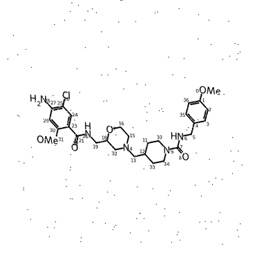 COc1ccc(CNC(=O)N2CCC(CN3CCOC(CNC(=O)c4cc(Cl)c(N)cc4OC)C3)CC2)cc1